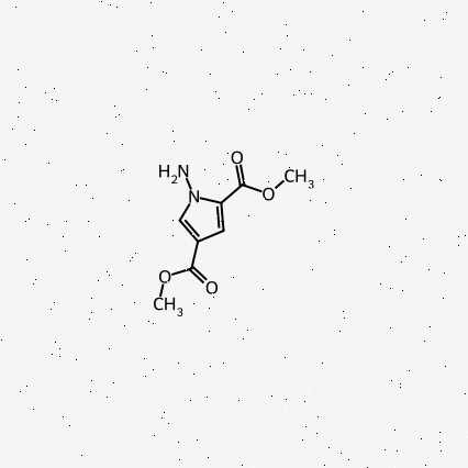 COC(=O)c1cc(C(=O)OC)n(N)c1